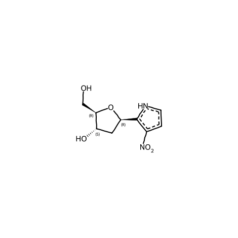 O=[N+]([O-])c1cc[nH]c1[C@H]1C[C@H](O)[C@@H](CO)O1